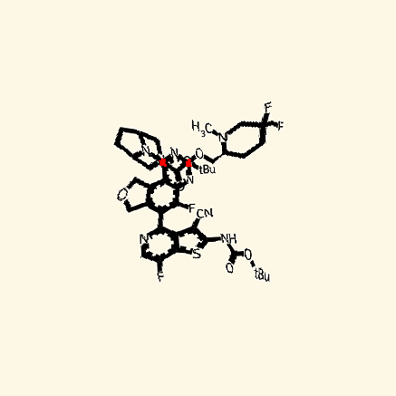 CN1CC(F)(F)CC[C@H]1COc1nc(N2C3CCC2CN(C(=O)OC(C)(C)C)C3)c2c3c(c(-c4ncc(F)c5sc(NC(=O)OC(C)(C)C)c(C#N)c45)c(F)c2n1)COC3